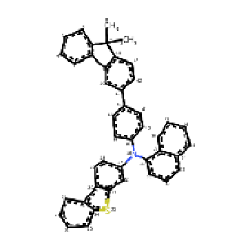 CC1(C)c2ccccc2-c2cc(-c3ccc(N(c4ccc5c(c4)sc4ccccc45)c4cccc5ccccc45)cc3)ccc21